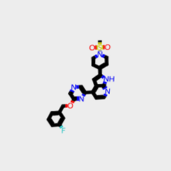 CS(=O)(=O)N1CC=C(c2cc3c(-c4cncc(OCc5cccc(F)c5)n4)ccnc3[nH]2)CC1